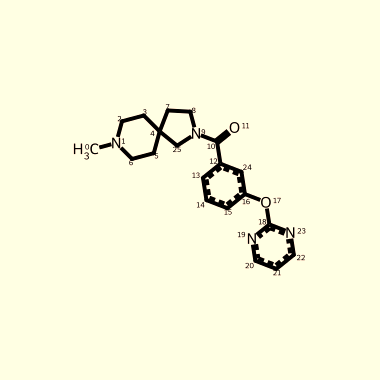 CN1CCC2(CC1)CCN(C(=O)c1cccc(Oc3ncccn3)c1)C2